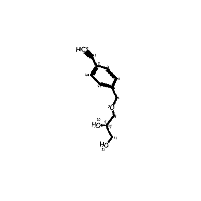 C#Cc1ccc(COC[C@H](O)CO)cc1